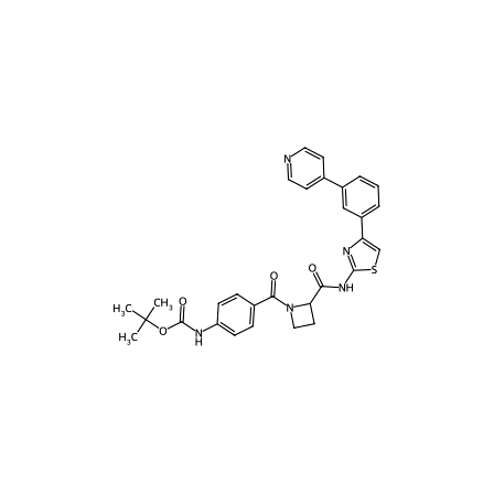 CC(C)(C)OC(=O)Nc1ccc(C(=O)N2CCC2C(=O)Nc2nc(-c3cccc(-c4ccncc4)c3)cs2)cc1